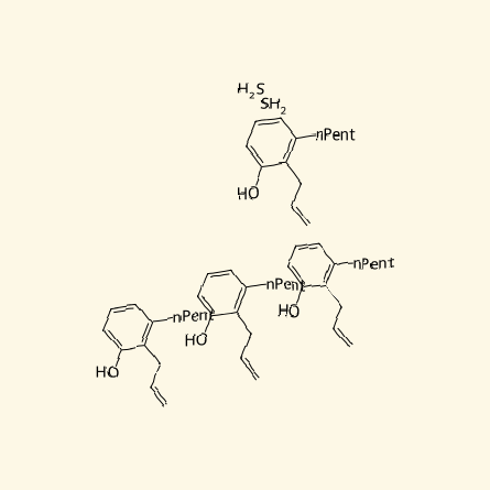 C=CCc1c(O)cccc1CCCCC.C=CCc1c(O)cccc1CCCCC.C=CCc1c(O)cccc1CCCCC.C=CCc1c(O)cccc1CCCCC.S.S